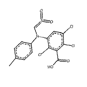 Cc1ccc(N(C=S(=O)=O)c2cc(Cl)c(Cl)c(C(=O)O)c2Cl)cc1